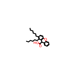 CCCCCCc1ccc2c(c1CCCCCC)C(C(=O)O)c1ccccc1O2